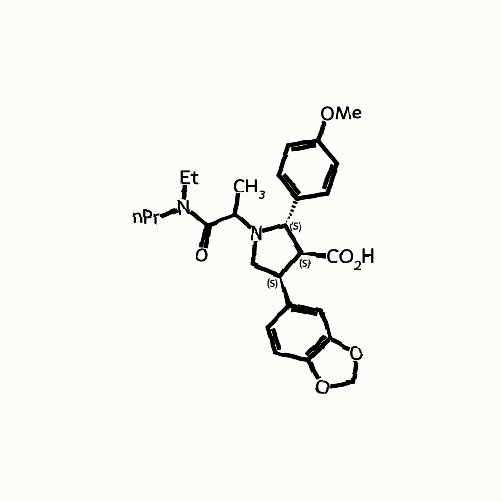 CCCN(CC)C(=O)C(C)N1C[C@H](c2ccc3c(c2)OCO3)[C@H](C(=O)O)[C@H]1c1ccc(OC)cc1